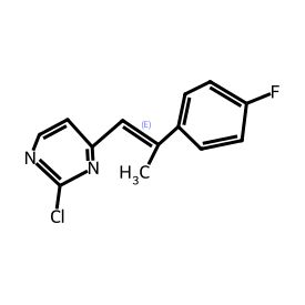 C/C(=C\c1ccnc(Cl)n1)c1ccc(F)cc1